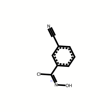 N#Cc1cccc(/C(Cl)=N\O)c1